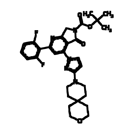 CC(C)(C)OC(=O)N1Cc2nc(-c3c(F)cccc3F)cc(-n3ccc(N4CCC5(CCOCC5)CC4)n3)c2C1=O